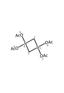 CC(=O)O[Si]1(OC(C)=O)C[Si](OC(C)=O)(OC(C)=O)C1